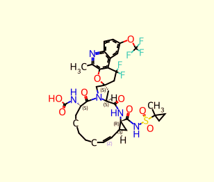 Cc1nc2ccc(OC(F)(F)F)cc2c2c1O[C@@]1(C[C@H]3C(=O)N[C@]4(C(=O)NS(=O)(=O)C5(C)CC5)C[C@H]4/C=C\CCCCC[C@H](NC(=O)O)C(=O)N3C1)CC2(F)F